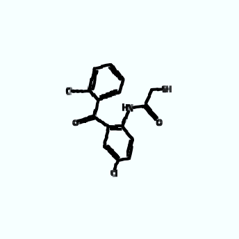 O=C(CS)Nc1ccc(Cl)cc1C(=O)c1ccccc1Cl